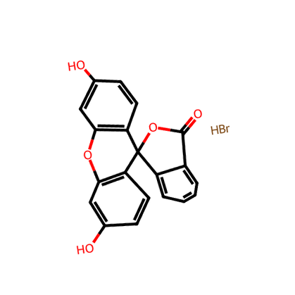 Br.O=C1OC2(c3ccc(O)cc3Oc3cc(O)ccc32)c2ccccc21